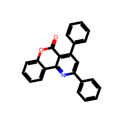 O=c1oc2ccccc2c2nc(-c3ccccc3)cc(-c3ccccc3)c12